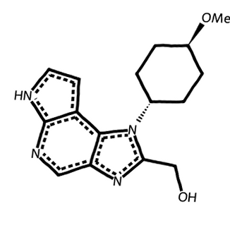 CO[C@H]1CC[C@H](n2c(CO)nc3cnc4[nH]ccc4c32)CC1